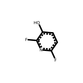 Oc1ccc(F)nc1F